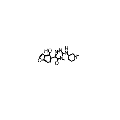 CN1CCC[C@@H](Nc2nnc(-c3ccc4occc4c3O)c(=O)n2C)C1